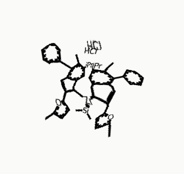 Cc1ccc(C2=Cc3c(cc(C(C)C)c(C)c3-c3ccccc3)[CH]2[Zr]([CH]2C(c3ccc(C)o3)=Cc3c2cc(C(C)C)c(C)c3-c2ccccc2)=[Si](C)C)o1.Cl.Cl